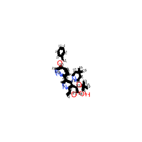 C=Cc1ncc(-c2ccc(OCc3ccccc3)cn2)c(N2CCC(C)(C)CC2)c1[C@H](OC(C)(C)C)C(=O)O